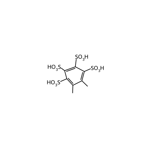 Cc1c(C)c(S(=O)(=O)O)c(S(=O)(=O)O)c(S(=O)(=O)O)c1S(=O)(=O)O